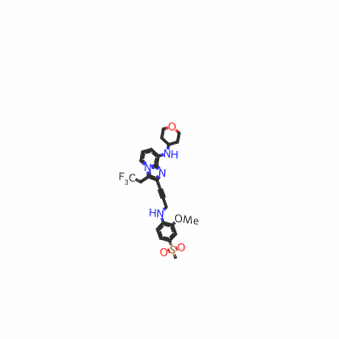 COc1cc(S(C)(=O)=O)ccc1NCC#Cc1nc2c(NC3CCOCC3)cccn2c1CC(F)(F)F